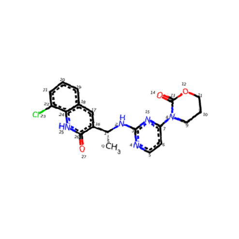 C[C@@H](Nc1nccc(N2CCCOC2=O)n1)c1cc2cccc(Cl)c2[nH]c1=O